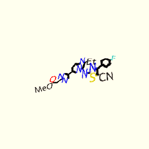 CCc1nc2ccc(-c3cnc(CC(=O)OC)nc3)cn2c1N(C)c1nc(-c2ccc(F)cc2)c(C#N)s1